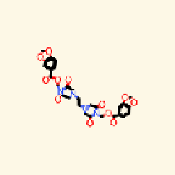 O=C(OCN1C(=O)CN(CCN2CC(=O)N(COC(=O)c3ccc4c(c3)OCO4)C(=O)C2)CC1=O)c1ccc2c(c1)OCO2